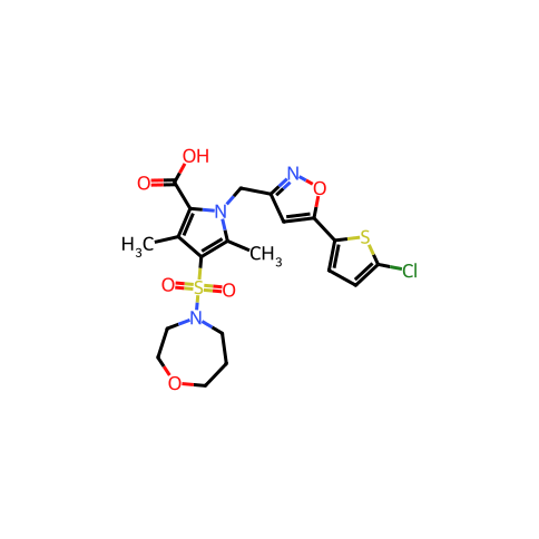 Cc1c(S(=O)(=O)N2CCCOCC2)c(C)n(Cc2cc(-c3ccc(Cl)s3)on2)c1C(=O)O